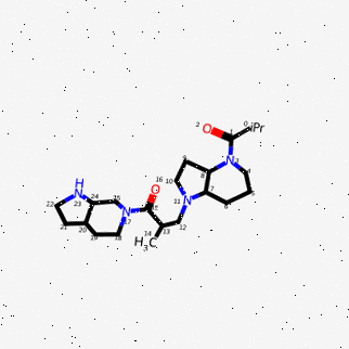 CC(C)C(=O)N1CCCC2C1CCN2CC(C)C(=O)N1CCC2CCNC2C1